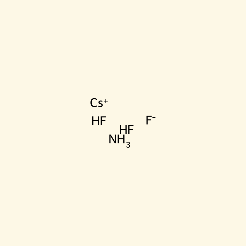 F.F.N.[Cs+].[F-]